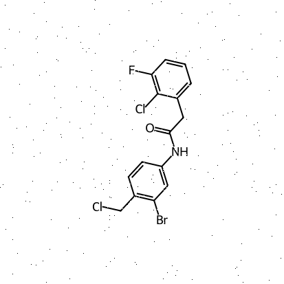 O=C(Cc1cccc(F)c1Cl)Nc1ccc(CCl)c(Br)c1